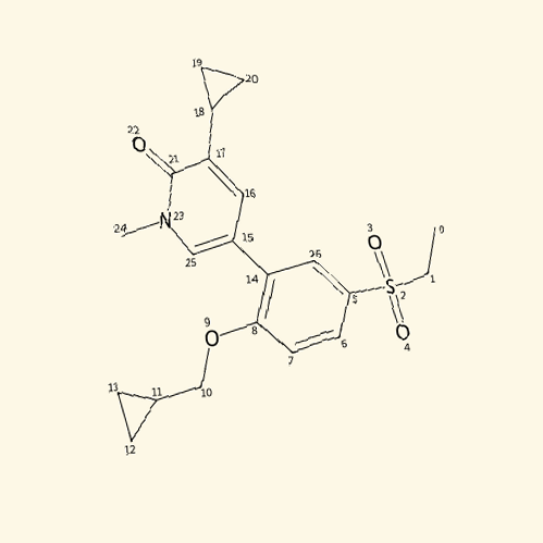 CCS(=O)(=O)c1ccc(OCC2CC2)c(-c2cc(C3CC3)c(=O)n(C)c2)c1